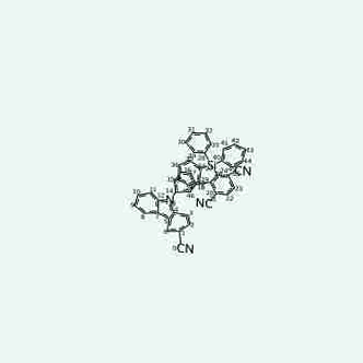 N#Cc1ccc2c(c1)c1ccccc1n2-c1cccc(-c2c(C#N)ccc(C#N)c2[Si](c2ccccc2)(c2ccccc2)c2ccccc2)c1